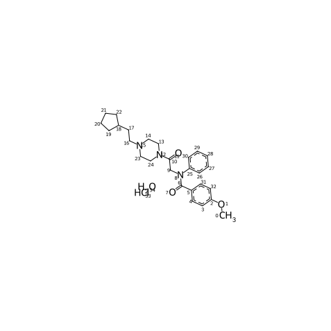 COc1ccc(C(=O)N(CC(=O)N2CCN(CCC3CCCC3)CC2)c2ccccc2)cc1.Cl.O